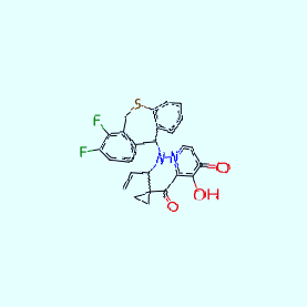 C=CC1N(C2c3ccccc3SCc3c2ccc(F)c3F)n2ccc(=O)c(O)c2C(=O)C12CC2